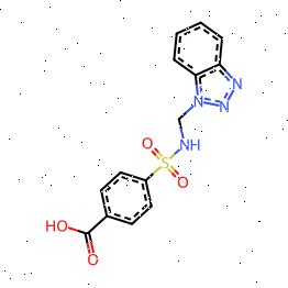 O=C(O)c1ccc(S(=O)(=O)NCn2nnc3ccccc32)cc1